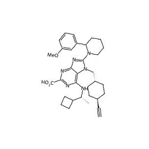 C#C[C@H]1CC[C@H](Cn2c(N3CCCCC3c3cccc(OC)c3)nc3nc(C(=O)O)nc(N[C@H](C)C4CCC4)c32)CC1